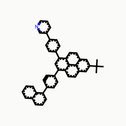 CC(C)(C)c1cc2ccc3c(-c4c#cc(-c5cccc6ccccc56)cc4)cc(-c4ccc(-c5cccnc5)cc4)c4ccc(c1)c2c34